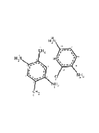 Cc1cc(N)c(C)cc1N.Nc1ccc(N)c(Cl)c1